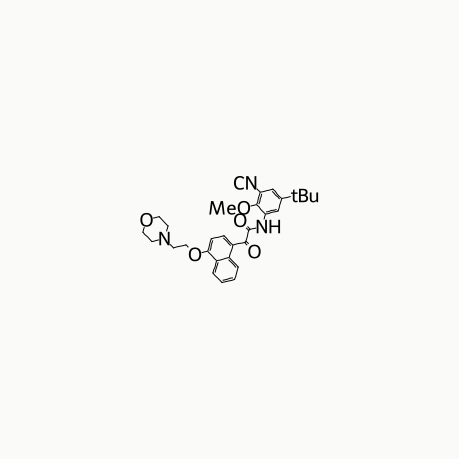 [C-]#[N+]c1cc(C(C)(C)C)cc(NC(=O)C(=O)c2ccc(OCCN3CCOCC3)c3ccccc23)c1OC